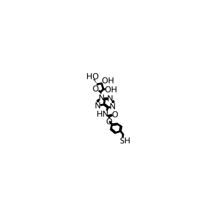 O=C(Nc1ncnc2c1ncn2[C@@H]1O[C@H](CO)C(O)C1O)Oc1ccc(CS)cc1